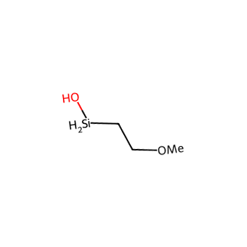 COCC[SiH2]O